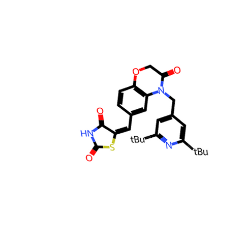 CC(C)(C)c1cc(CN2C(=O)COc3ccc(C=C4SC(=O)NC4=O)cc32)cc(C(C)(C)C)n1